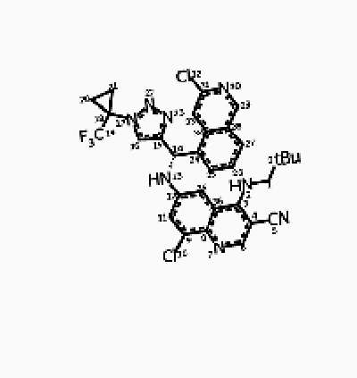 CC(C)(C)CNc1c(C#N)cnc2c(Cl)cc(N[C@H](c3cn(C4(C(F)(F)F)CC4)nn3)c3cccc4cnc(Cl)cc34)cc12